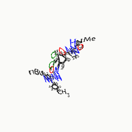 CCCCc1cc(NC(=O)Nc2ccc(Oc3ccnc(NC(=O)NC)n3)c(Cl)c2Cl)n(-c2ccc(C)cc2)n1